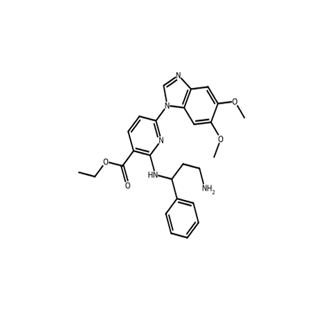 CCOC(=O)c1ccc(-n2cnc3cc(OC)c(OC)cc32)nc1NC(CCN)c1ccccc1